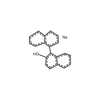 Oc1ccc2ccccc2c1-c1cccc2ccccc12.[Na]